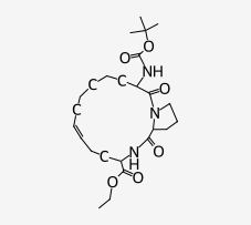 CCOC(=O)C1CCC=CCCCCCC(NC(=O)OC(C)(C)C)C(=O)N2CCCC2C(=O)N1